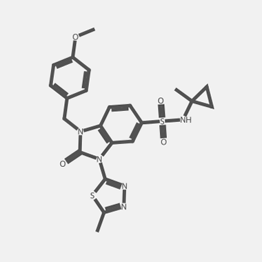 COc1ccc(Cn2c(=O)n(-c3nnc(C)s3)c3cc(S(=O)(=O)NC4(C)CC4)ccc32)cc1